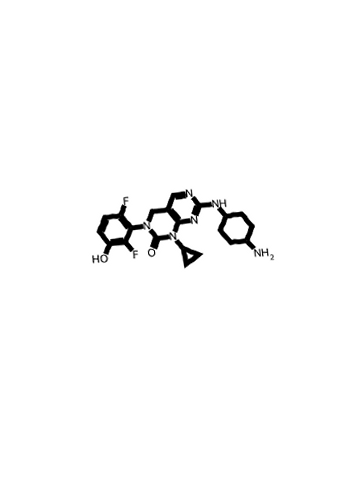 NC1CCC(Nc2ncc3c(n2)N(C2CC2)C(=O)N(c2c(F)ccc(O)c2F)C3)CC1